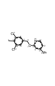 Cc1c(Cl)cc(COc2cc(C(C)C)ccn2)cc1Cl